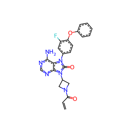 C=CC(=O)N1CC(n2c(=O)n(-c3ccc(Oc4ccccc4)c(F)c3)c3c(N)ncnc32)C1